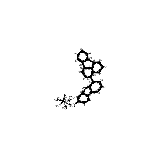 O=S(=O)(Oc1ccc2c(c1)sc1c(-c3ccc4c5c(cccc35)-c3ccccc3-4)cccc12)C(F)(F)F